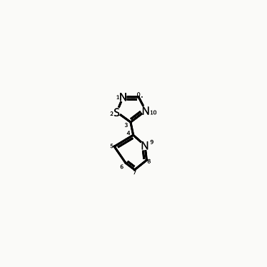 [c]1nsc(-c2ccccn2)n1